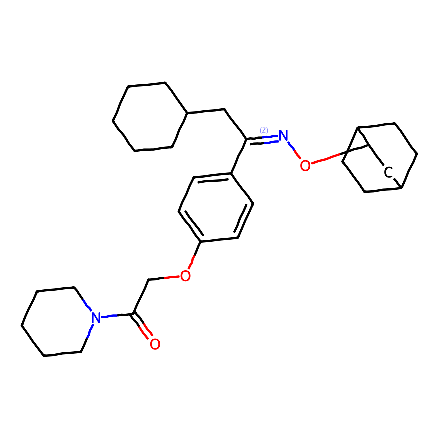 O=C(COc1ccc(/C(CC2CCCCC2)=N\OC2CC3CCC2CC3)cc1)N1CCCCC1